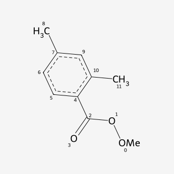 COOC(=O)c1ccc(C)cc1C